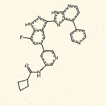 O=C(Nc1cncc(-c2cc(F)c3[nH]nc(-c4nc5c(-c6ccncc6)ccnc5[nH]4)c3c2)c1)C1CCC1